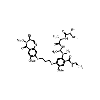 C=CNC(=O)c1cc(OC)c(OCCCOc2cc3c(cc2OC)C(=O)N(OC)C(CC)C=N3)cc1N(C)C(C)NC(=O)[C@H](C)NC(=O)[C@@H](N)C(C)C